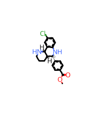 COC(=O)c1ccc([C@H]2Nc3ccc(Cl)cc3[C@@H]3NCCC[C@@H]23)cc1